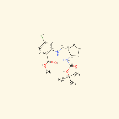 COC(=O)c1ccc(Cl)cc1NC[C@@H]1CCC[C@@H]1NC(=O)OC(C)(C)C